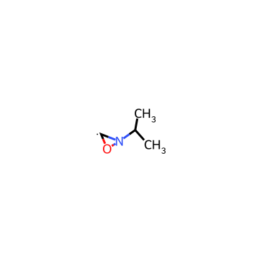 CC(C)N1[CH]O1